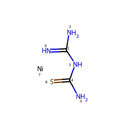 N=C(N)NC(N)=S.[Ni]